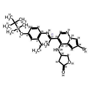 CCc1cc(O[Si](C)(C)C(C)(C)C)ccc1/N=C(\N)c1cnn2cc(Br)cc2c1NC1COC(=O)C1